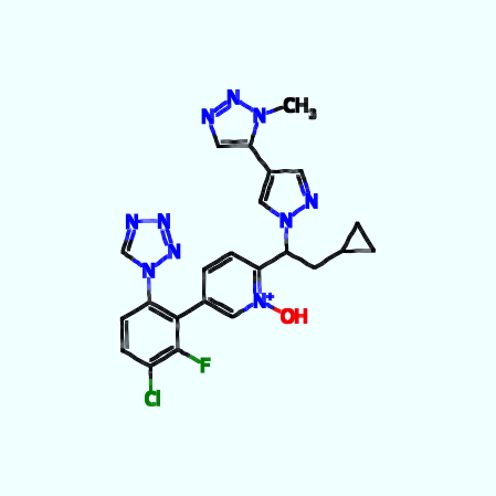 Cn1nncc1-c1cnn(C(CC2CC2)c2ccc(-c3c(-n4cnnn4)ccc(Cl)c3F)c[n+]2O)c1